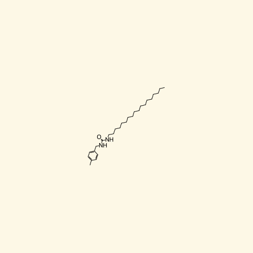 CCCCCCCCCCCCCCCCCCNC(=O)NCc1ccc(C)cc1